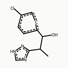 CC(c1nc[nH]n1)C(O)c1ccc(Cl)cc1